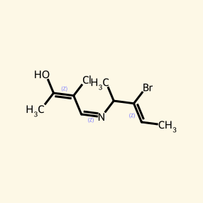 C/C=C(\Br)C(C)/N=C\C(Cl)=C(/C)O